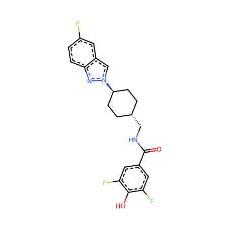 O=C(NC[C@H]1CC[C@H](n2cc3cc(F)ccc3n2)CC1)c1cc(F)c(O)c(F)c1